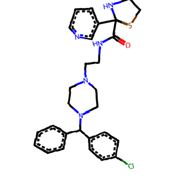 O=C(NCCN1CCN(C(c2ccccc2)c2ccc(Cl)cc2)CC1)C1(c2cccnc2)NCCS1